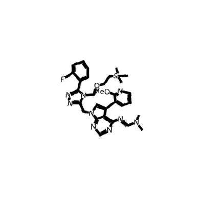 COc1ncccc1-c1cn(Cc2nnc(-c3ccccc3F)n2COCC[Si](C)(C)C)c2ncnc(/N=C/N(C)C)c12